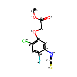 CCC(C)OC(=O)COc1cc(N=C=S)c(F)cc1Cl